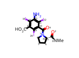 CNC(=O)[C@@H]1CCCN1C(=O)c1c(I)c(N)c(I)c(C(=O)O)c1I